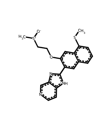 CSc1cccc2cc(-c3nc4cnccc4[nH]3)c(OCC[S+](C)[O-])cc12